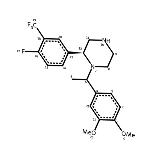 COc1ccc(C(C)N2CCNC[C@@H]2c2ccc(F)c(C(F)(F)F)c2)cc1OC